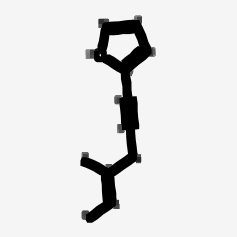 C/C=C(\C)CC#Cc1ccco1